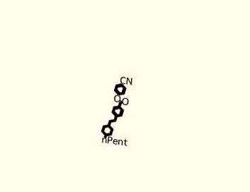 CCCCCC1CCC(CCc2ccc(C(=O)Oc3ccc(C#N)cc3)cc2)CC1